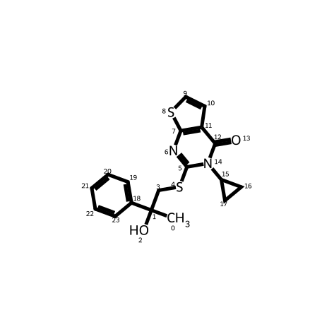 CC(O)(CSc1nc2sccc2c(=O)n1C1CC1)c1ccccc1